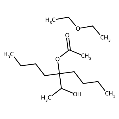 CCCCC(CCCC)(OC(C)=O)C(C)O.CCOCC